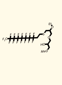 CCOC(COCC(O)COC)CSCCC(F)(F)C(F)(F)C(F)(F)C(F)(F)C(F)(F)C(F)(F)C(F)(F)C(F)(F)F